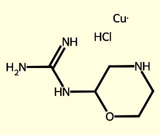 Cl.N=C(N)NC1CNCCO1.[Cu]